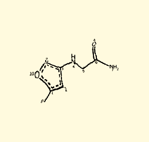 Cc1cc(NCC(N)=O)no1